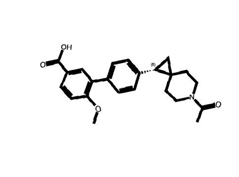 COc1ccc(C(=O)O)cc1-c1ccc([C@@H]2CC23CCN(C(C)=O)CC3)cc1